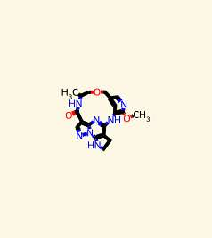 COc1ncc2cc1Nc1nc3c(cnn3c3c1CCN3)C(=O)NC(C)COC2